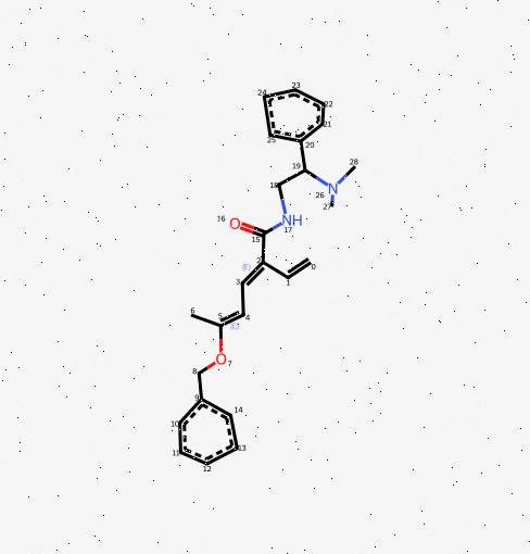 C=C/C(=C\C=C(/C)OCc1ccccc1)C(=O)NCC(c1ccccc1)N(C)C